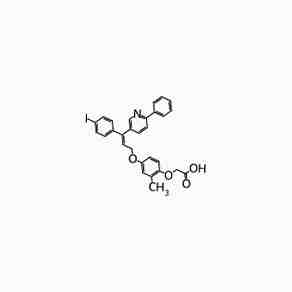 Cc1cc(OCC=C(c2ccc(I)cc2)c2ccc(-c3ccccc3)nc2)ccc1OCC(=O)O